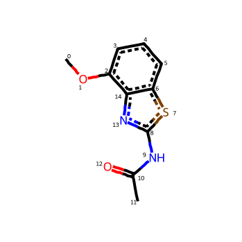 COc1cccc2sc(NC(C)=O)nc12